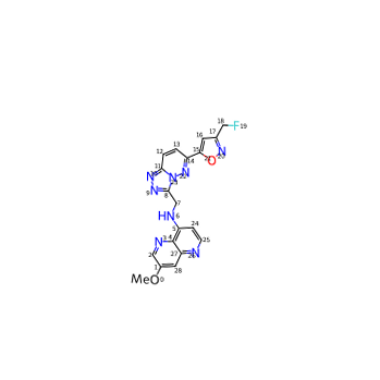 COc1cnc2c(NCc3nnc4ccc(-c5cc(CF)no5)nn34)ccnc2c1